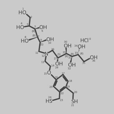 Cl.OCC(O)[C@@H](O)[C@H](O)[C@@H](O)CN(CCOc1ccc(CS)c(CS)c1)C[C@H](O)[C@@H](O)[C@H](O)[C@H](O)CO